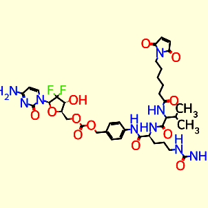 CC(C)C(NC(=O)CCCCCN1C(=O)C=CC1=O)C(=O)N[C@@H](CCCNC(N)=O)C(=O)Nc1ccc(COC(=O)OC[C@H]2O[C@@H](n3ccc(N)nc3=O)C(F)(F)[C@@H]2O)cc1